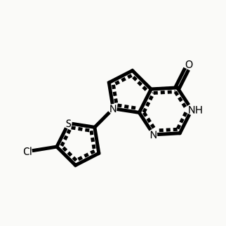 O=c1[nH]cnc2c1ccn2-c1ccc(Cl)s1